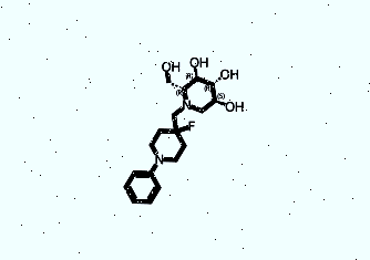 OC[C@@H]1[C@@H](O)[C@H](O)[C@@H](O)CN1CC1(F)CCN(c2ccccc2)CC1